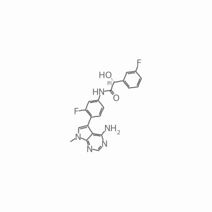 Cn1cc(-c2ccc(NC(=O)[C@H](O)c3cccc(F)c3)cc2F)c2c(N)ncnc21